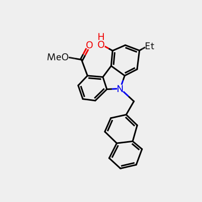 CCc1cc(O)c2c3c(C(=O)OC)cccc3n(Cc3ccc4ccccc4c3)c2c1